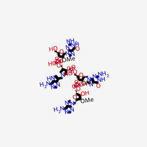 CO[C@H]1C(O)[C@@H](COP(=O)(O)OC2[C@@H](COP(=O)(O)O[C@@H]3CN(Cc4c[nH]c5c(N)ncnc45)C[C@@H]3COP(=O)(O)OC3[C@@H](CO)O[C@@H](n4cnc5c(=O)[nH]c(N)nc54)[C@H]3OC)O[C@@H](Cn3cnc4c(=O)[nH]c(N)nc43)[C@H]2OC)O[C@H]1Cn1cnc2c(N)ncnc21